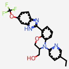 CCc1ccc(N2c3cccc(-c4nc5ccc(OC(F)(F)F)cc5[nH]4)c3OCC2CO)nc1